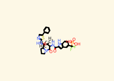 CC(C)(C)C(NC(=O)c1cc2cc(C(F)(F)P(=O)(O)O)ccc2[nH]1)C(=O)N1CCCC1C(=O)Nc1ncc(-c2ccccc2)s1